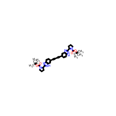 CC(C)(C)OC(=O)N1CCCC1c1nc2cc(C#CC#Cc3ccc4nc(C5CCCN5C(=O)OC(C)(C)C)[nH]c4c3)ccc2[nH]1